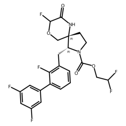 O=C1N[C@@]2(CCN(C(=O)OCC(F)F)[C@@H]2Cc2cccc(-c3cc(F)cc(F)c3)c2F)COC1F